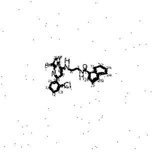 O=C(NCCNc1cc(-c2ccccc2Cl)nc2c(Br)cnn12)c1cccc2ccccc12